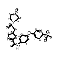 C=C(Nc1ccc(OC2=CCC(S(C)(=O)=O)N=C2)cc1)C1=NCC(CC(=O)N2CC[S+]([O-])CC2)S1